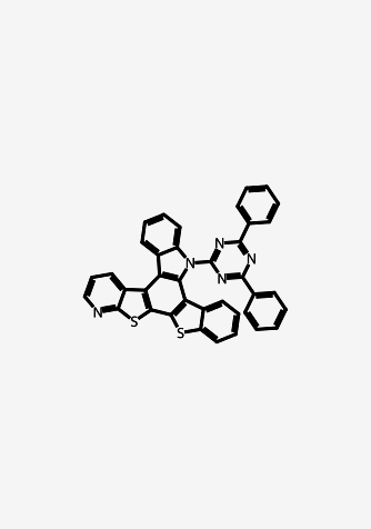 c1ccc(-c2nc(-c3ccccc3)nc(-n3c4ccccc4c4c5c6cccnc6sc5c5sc6ccccc6c5c43)n2)cc1